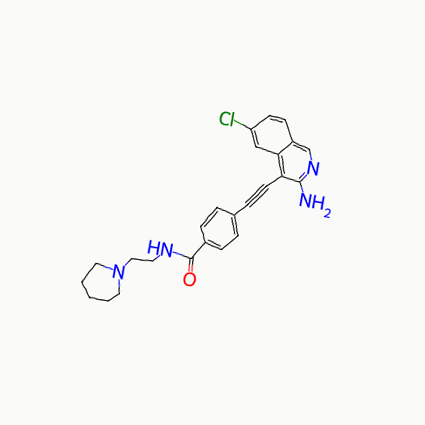 Nc1ncc2ccc(Cl)cc2c1C#Cc1ccc(C(=O)NCCN2CCCCC2)cc1